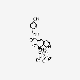 CCNS(=O)(=O)C1(COc2nccc3cc(C(=O)NCc4ccc(C#N)cc4)c(=O)n(C)c23)CC1